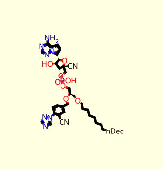 CCCCCCCCCCCCCCCCCCOC[C@H](COP(=O)(O)OC[C@]1(C#N)C[C@@H](O)[C@H](c2ccc3c(N)ncnn23)O1)OCc1ccc(-n2cncn2)c(C#N)c1